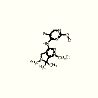 CCOC(=O)n1nc(Nc2nc(OCC)ncc2F)c2c1C(C)(C)N(C(=O)O)C2